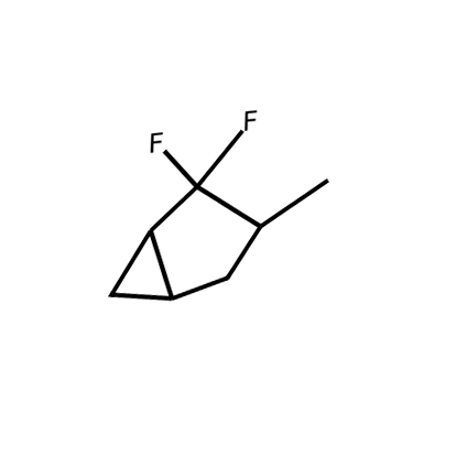 CC1CC2CC2C1(F)F